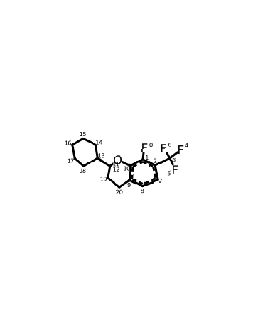 Fc1c(C(F)(F)F)ccc2c1OC(C1CCCCC1)CC2